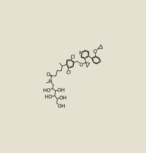 CC(CCCC(=O)N(C)CC(O)C(O)C(O)C(O)CO)c1cc(Cl)c(COC2(c3cnccc3-c3ccccc3OC3CC3)CC2)cc1Cl